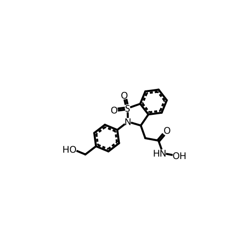 O=C(CC1c2ccccc2S(=O)(=O)N1c1ccc(CO)cc1)NO